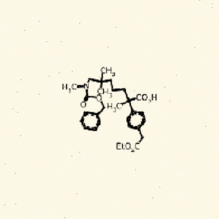 CCOC(=O)Cc1ccc(C(C)(CCCC(C)(C)CN(C)C(=O)OCc2ccccc2)C(=O)O)cc1